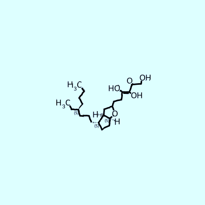 CCCC[C@H](CC)CCC[C@H]1CC[C@@H]2OC(CCC(O)=C(O)C(=O)CO)C[C@H]12